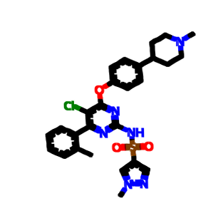 Cc1ccccc1-c1nc(NS(=O)(=O)c2cnn(C)c2)nc(Oc2ccc(C3CCN(C)CC3)cc2)c1Cl